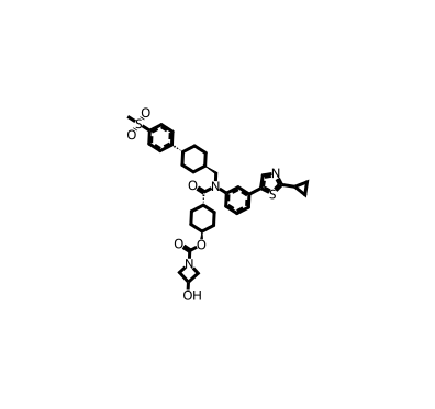 CS(=O)(=O)c1ccc([C@H]2CC[C@H](CN(c3cccc(-c4cnc(C5CC5)s4)c3)C(=O)[C@H]3CC[C@H](OC(=O)N4CC(O)C4)CC3)CC2)cc1